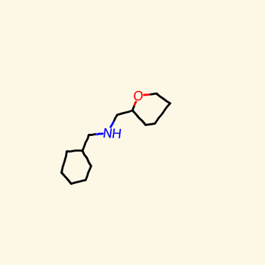 C1CCC(CNCC2CCCCO2)CC1